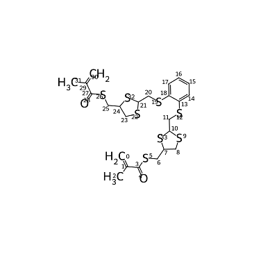 C=C(C)C(=O)SCC1CSC(CSc2ccccc2SCC2SCC(CSC(=O)C(=C)C)S2)S1